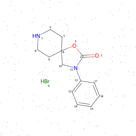 Br.O=C1OC2(CCNCC2)CN1c1ccccc1